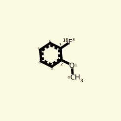 COc1ccccc1[18F]